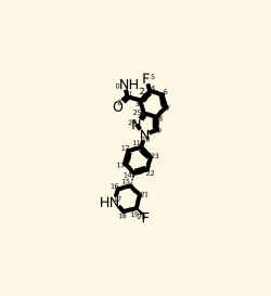 NC(=O)c1c(F)ccc2cn(-c3ccc([C@H]4CNC[C@H](F)C4)cc3)nc12